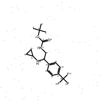 CC(C)(C)OC(=O)NCC(NC1CC1)c1ccc(C(F)(F)F)cc1